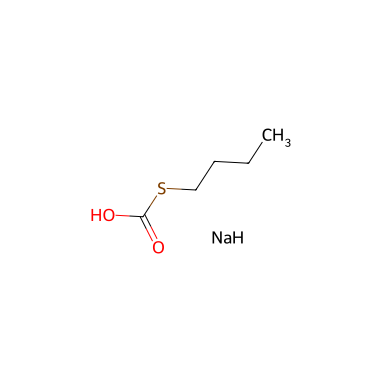 CCCCSC(=O)O.[NaH]